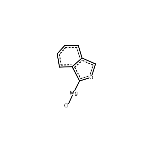 [Cl][Mg][c]1occ2ccccc12